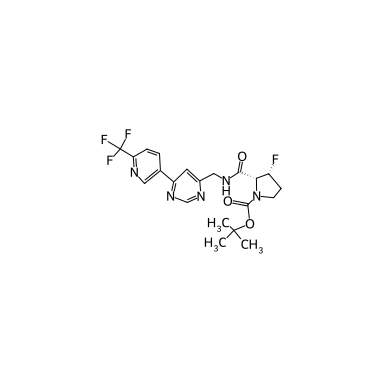 CC(C)(C)OC(=O)N1CC[C@@H](F)[C@H]1C(=O)NCc1cc(-c2ccc(C(F)(F)F)nc2)ncn1